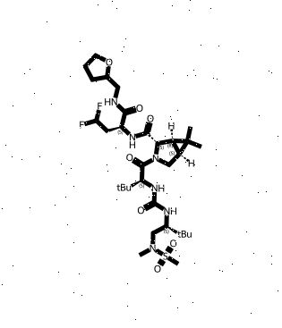 CN(C[C@@H](NC(=O)N[C@H](C(=O)N1C[C@H]2[C@@H]([C@H]1C(=O)N[C@@H](CC(F)F)C(=O)NCC1CCCO1)C2(C)C)C(C)(C)C)C(C)(C)C)S(C)(=O)=O